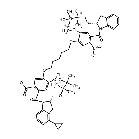 COc1cc(C(=O)N2c3ccccc3C[C@H]2CCC(C)(C)[Si](C)(C)O)c([N+](=O)[O-])cc1OCCCCCOc1cc([N+](=O)[O-])c(C(=O)N2c3cccc(C4CC4)c3C[C@H]2CO[Si](C)(C)C(C)(C)C)cc1OC